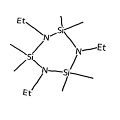 CCN1[Si](C)(C)N(CC)[Si](C)(C)N(CC)[Si]1(C)C